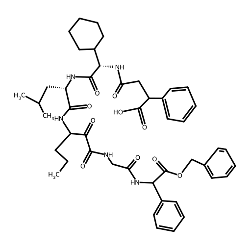 CCCC(NC(=O)[C@H](CC(C)C)NC(=O)[C@@H](NC(=O)CC(C(=O)O)c1ccccc1)C1CCCCC1)C(=O)C(=O)NCC(=O)NC(C(=O)OCc1ccccc1)c1ccccc1